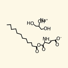 CCCCCCCCCCCC(=O)OC(=O)[C@@H](N)CCC(=O)[O-].OCC(O)CO.[Na+]